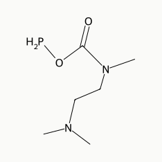 CN(C)CCN(C)C(=O)OP